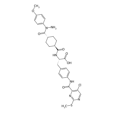 COc1ccc(N(N)C(=O)[C@H]2CC[C@H](C(=O)N[C@@H](Cc3ccc(NC(=O)c4nc(SC)ncc4Cl)cc3)C(=O)O)CC2)cc1